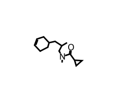 CC(CC1CC=CCC1)CN(C)C(=O)C1CC1